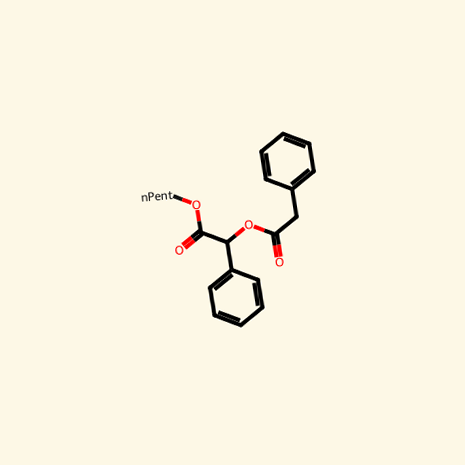 CCCCCOC(=O)C(OC(=O)Cc1ccccc1)c1ccccc1